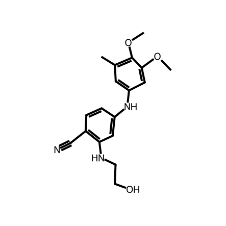 COc1cc(Nc2ccc(C#N)c(NCCO)c2)cc(C)c1OC